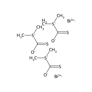 C[S-](C)C([O-])=S.C[S-](C)C([O-])=S.C[S-](C)C([O-])=S.[Bi+3].[Bi+3]